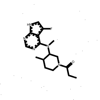 CCC(=O)N1CCC(C)C(N(C)c2ncnc3[nH]cc(F)c23)C1